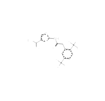 CC(C)c1cnc(NC(=O)Cc2cc(C(F)(F)F)ccc2C(F)(F)F)s1